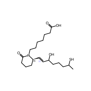 CC(S)CCCC(O)/C=C/[C@H]1CCCC(=O)N1CCCCCCC(=O)O